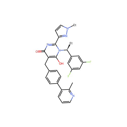 CC[C@@H](c1cc(F)cc(F)c1)n1c(-c2ccn(CC)n2)nc(=O)c(Cc2ccc(-c3cccnc3C)cc2)c1O